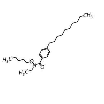 CCCCCCCCCCc1ccc(C(=O)N(CC)OCCCCC)cc1